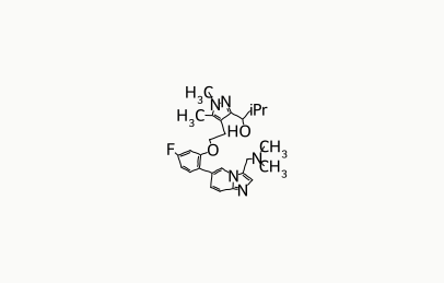 Cc1c(CCOc2cc(F)ccc2-c2ccc3ncc(CN(C)C)n3c2)c(C(O)C(C)C)nn1C